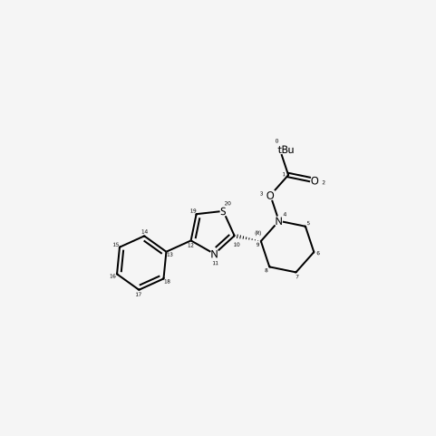 CC(C)(C)C(=O)ON1CCCC[C@@H]1c1nc(-c2ccccc2)cs1